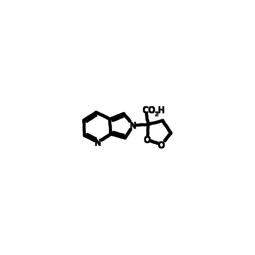 O=C(O)C1(n2cc3cccnc3c2)CCOO1